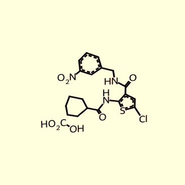 O=C(NCc1cccc([N+](=O)[O-])c1)c1cc(Cl)sc1NC(=O)C1CCCCC1.O=C(O)O